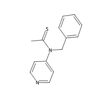 CC(=S)N(Cc1ccccc1)c1ccncc1